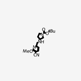 COc1nc(CN[C@@H]2CCN(C(=O)OC(C)(C)C)C2)ccc1C#N